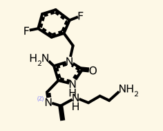 C=C(/N=C\c1[nH]c(=O)n(Cc2cc(F)ccc2F)c1N)NCCCN